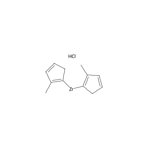 CC1=[C]([Zr][C]2=C(C)C=CC2)CC=C1.Cl